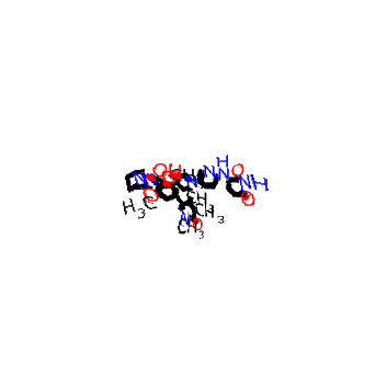 COc1cc(-c2cn(C)c(=O)c(C)c2C)cc(OC)c1CN1C2CCC1CN(C(O)CC1CCN(c3ccc(NC4CCC(=O)NC4=O)nc3)CC1)C2